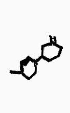 CC1C=CN(C2CCCNC2)CC1